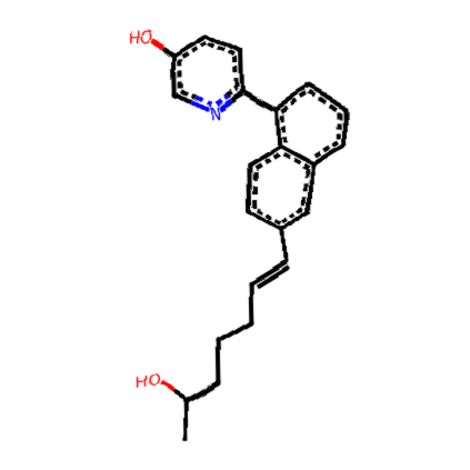 CC(O)CCCC=Cc1ccc2c(-c3ccc(O)cn3)cccc2c1